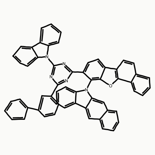 c1ccc(-c2cccc(-c3nc(-c4ccc5c(oc6c7ccccc7ccc56)c4-n4c5ccccc5c5cc6ccccc6cc54)nc(-n4c5ccccc5c5ccccc54)n3)c2)cc1